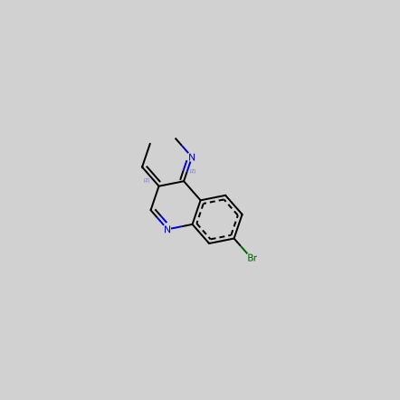 C/C=C1/C=Nc2cc(Br)ccc2/C1=N/C